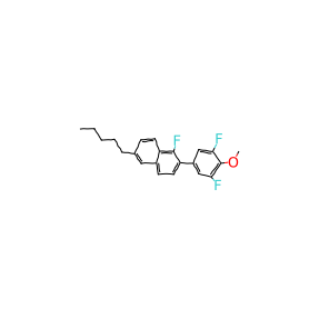 CCCCCc1ccc2c(F)c(-c3cc(F)c(OC)c(F)c3)ccc2c1